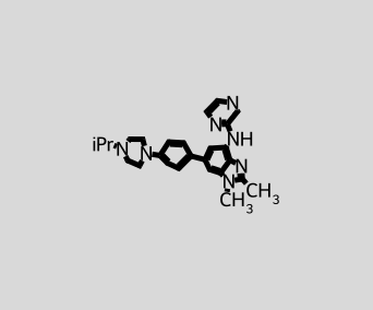 Cc1nc2c(Nc3cnccn3)cc(-c3ccc(N4CCN(C(C)C)CC4)cc3)cc2n1C